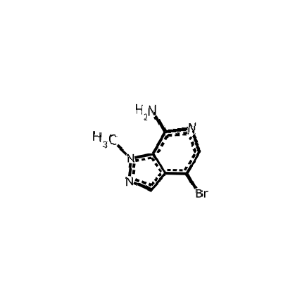 Cn1ncc2c(Br)cnc(N)c21